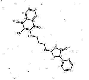 NC1=C(NCCCNC2NC(=O)C(c3ccccc3)O2)C(=O)c2ccccc2C1=O